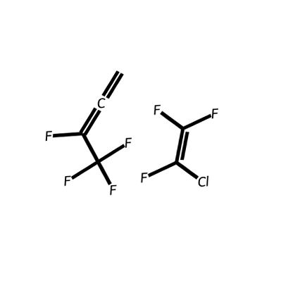 C=C=C(F)C(F)(F)F.FC(F)=C(F)Cl